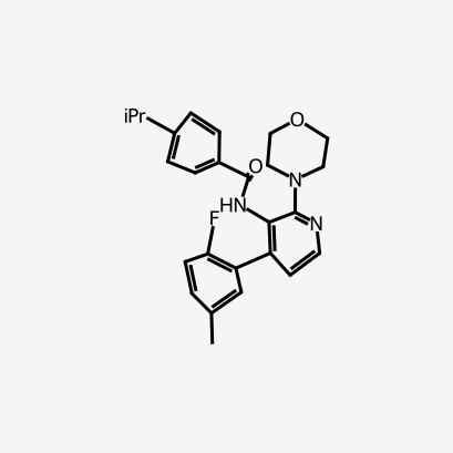 Cc1ccc(F)c(-c2ccnc(N3CCOCC3)c2NC(=O)c2ccc(C(C)C)cc2)c1